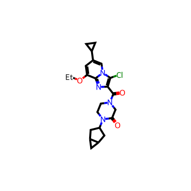 CCOc1cc(C2CC2)cn2c(Cl)c(C(=O)N3CCN(C4CC5CC5C4)C(=O)C3)nc12